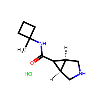 CC1(NC(=O)C2[C@H]3CNC[C@@H]23)CCC1.Cl